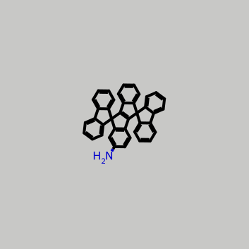 Nc1ccc2c(c1)C1(C3=C2C2(c4ccccc43)c3ccccc3-c3ccccc32)c2ccccc2-c2ccccc21